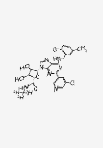 [2H]C([2H])([2H])NC(=O)[C@H]1O[C@@H](n2cnc3c(NCc4cc(C)ccc4Cl)nc(-c4cncc(Cl)c4)nc32)[C@H](O)[C@@H]1O